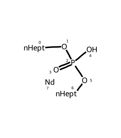 CCCCCCCOP(=O)(O)OCCCCCCC.[Nd]